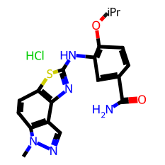 CC(C)Oc1ccc(C(N)=O)cc1Nc1nc2c(ccc3c2cnn3C)s1.Cl